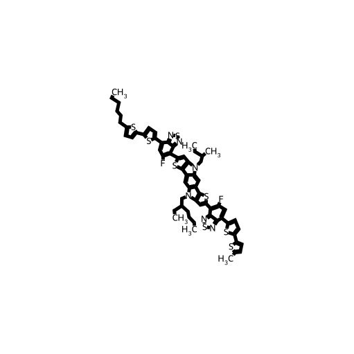 CCCCCCc1ccc(-c2ccc(-c3cc(F)c(-c4cc5c(s4)c4cc6c(cc4n5CC(C)CC)c4sc(-c5c(F)cc(-c7ccc(-c8ccc(C)s8)s7)c7nsnc57)cc4n6CC(CC)CCCC)c4nsnc34)s2)s1